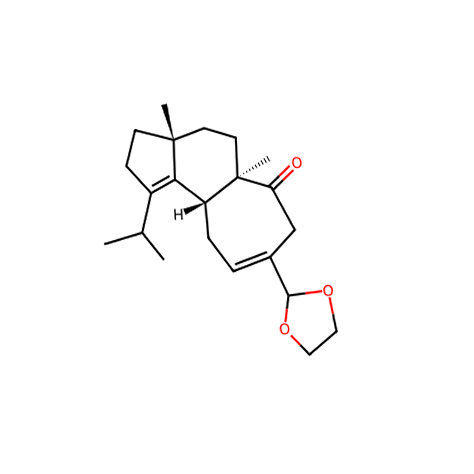 CC(C)C1=C2[C@H]3CC=C(C4OCCO4)CC(=O)[C@]3(C)CC[C@@]2(C)CC1